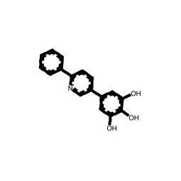 Oc1cc(-c2ccc(-c3ccccc3)nc2)cc(O)c1O